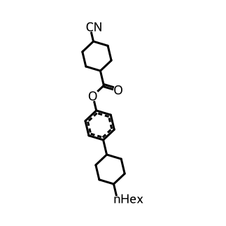 CCCCCCC1CCC(c2ccc(OC(=O)C3CCC(C#N)CC3)cc2)CC1